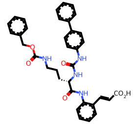 O=C(O)/C=C/c1ccccc1NC(=O)[C@H](CCCNC(=O)OCc1ccccc1)NC(=O)Nc1ccc(-c2ccccc2)cc1